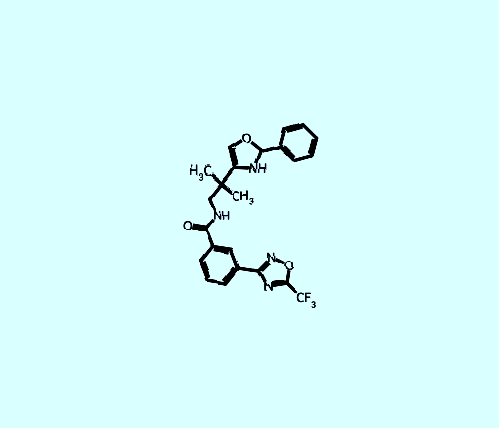 CC(C)(CNC(=O)c1cccc(-c2noc(C(F)(F)F)n2)c1)C1=COC(c2ccccc2)N1